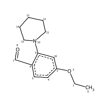 CCOc1ccc(C=O)c(N2CCCCC2)c1